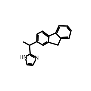 CC(c1ccc2c(c1)Cc1ccccc1-2)c1ncc[nH]1